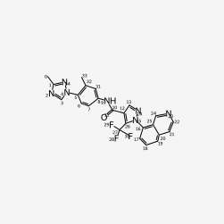 Cc1ncn(-c2ccc(NC(=O)c3cnn(-c4cccc5ccncc45)c3C(F)(F)F)cc2C)n1